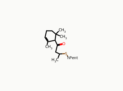 CCCCCSC(C)CC(=O)C1C(C)=CCCC1(C)C